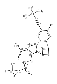 CC(C)(O)C#Cc1cc2c(cc1F)C1=CC(C1)n1c-2nc(C(N)=O)c1CNC(=O)C1CC1(F)F